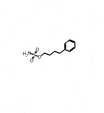 NS(=O)(=O)OCCCCc1ccccc1